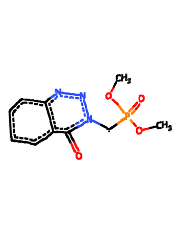 COP(=O)([CH]n1nnc2ccccc2c1=O)OC